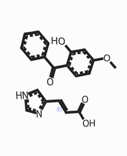 COc1ccc(C(=O)c2ccccc2)c(O)c1.O=C(O)/C=C/c1c[nH]cn1